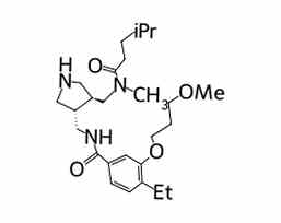 CCc1ccc(C(=O)NC[C@@H]2CNC[C@H]2CN(C)C(=O)CCC(C)C)cc1OCCCOC